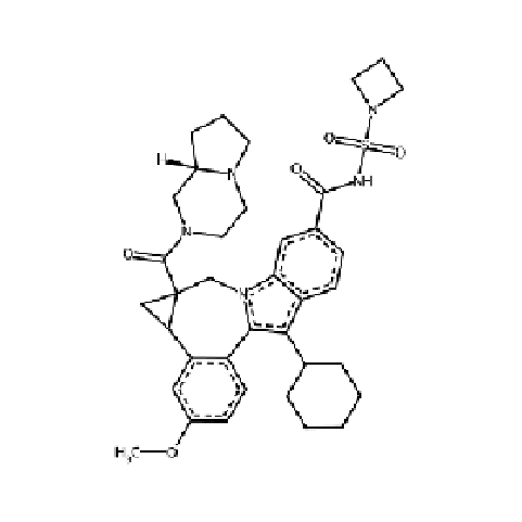 COc1ccc2c(c1)C1CC1(C(=O)N1CCN3CCC[C@H]3C1)Cn1c-2c(C2CCCCC2)c2ccc(C(=O)NS(=O)(=O)N3CCC3)cc21